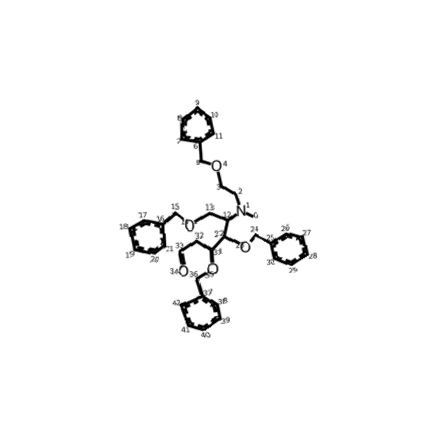 CN(CCOCc1ccccc1)C(COCc1ccccc1)C(OCc1ccccc1)C(CC=O)OCc1ccccc1